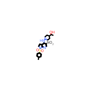 Cc1ccc(S(=O)(=O)n2ccc3c(NN4CCC(C(C)O)CC4)c([N+](=O)[O-])cnc32)cc1